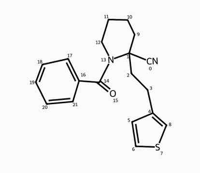 N#CC1(CCc2ccsc2)CCCCN1C(=O)c1ccccc1